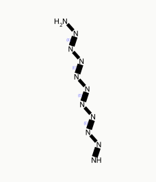 N=N/N=N/N=N/N=N/N=N/N